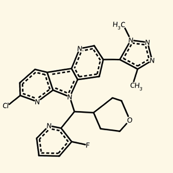 Cc1nnn(C)c1-c1cnc2c3ccc(Cl)nc3n(C(c3ncccc3F)C3CCOCC3)c2c1